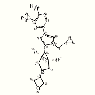 Nc1ncc(-c2cn(CC3CC3)c(C3[C@H]4CN(C5COC5)C[C@@H]34)n2)cc1C(F)(F)F